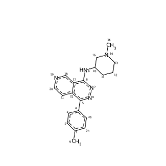 Cc1ccc(-c2nnc(NC3CCCN(C)C3)c3cnccc23)cc1